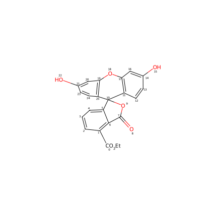 CCOC(=O)c1cccc2c1C(=O)OC21c2ccc(O)cc2Oc2cc(O)ccc21